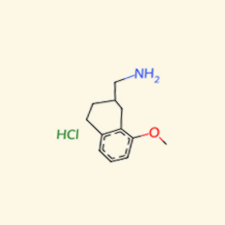 COc1cccc2c1CC(CN)CC2.Cl